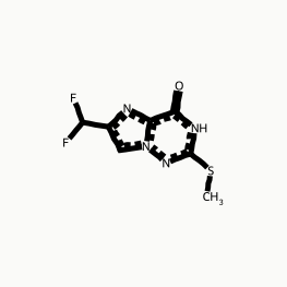 CSc1nn2cc(C(F)F)nc2c(=O)[nH]1